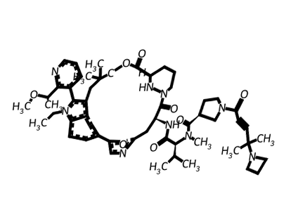 CCn1c(-c2cccnc2[C@H](C)OC)c2c3cc(ccc31)-c1cnc(o1)C[C@H](NC(=O)[C@H](C(C)C)N(C)C(=O)[C@H]1CCN(C(=O)C#CC(C)(C)N3CCC3)C1)C(=O)N1CCC[C@H](N1)C(=O)OCC(C)(C)C2